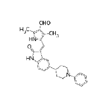 Cc1[nH]c(/C=C2\C(=O)Nc3ccc(C4CCN(c5ccccc5)CC4)cc32)c(C)c1C=O